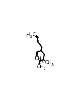 C=CCCC(C=C)CC(C)C=C